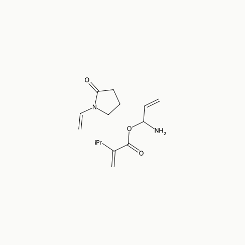 C=CC(N)OC(=O)C(=C)C(C)C.C=CN1CCCC1=O